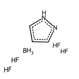 B.F.F.F.F.c1cn[nH]c1